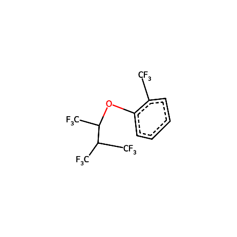 FC(F)(F)c1ccccc1OC(C(C(F)(F)F)C(F)(F)F)C(F)(F)F